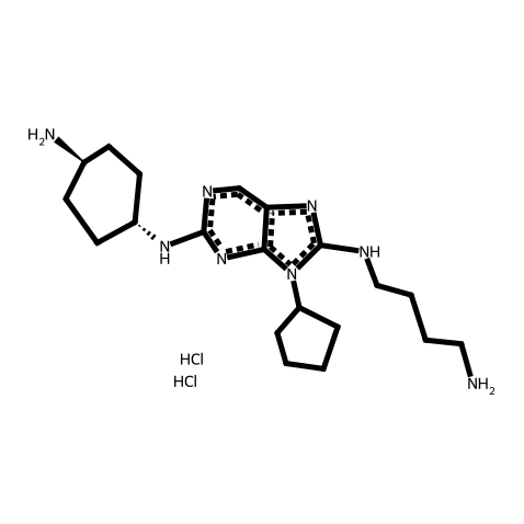 Cl.Cl.NCCCCNc1nc2cnc(N[C@H]3CC[C@H](N)CC3)nc2n1C1CCCC1